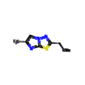 COCc1nn2cc(C(F)(F)F)nc2s1